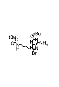 CCCCOc1nc(N)c2nc(Br)n(CCCCNC(=O)OC(C)(C)C)c2n1